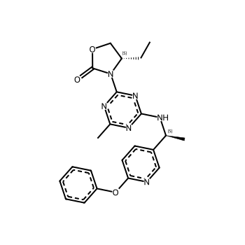 CC[C@H]1COC(=O)N1c1nc(C)nc(N[C@@H](C)c2ccc(Oc3ccccc3)nc2)n1